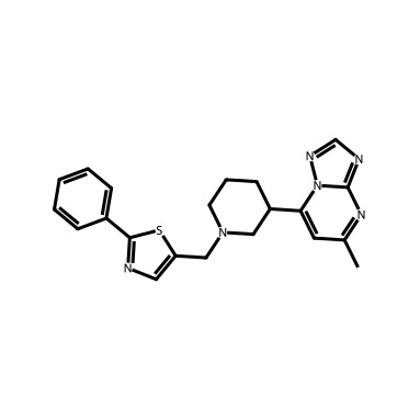 Cc1cc(C2CCCN(Cc3cnc(-c4ccccc4)s3)C2)n2ncnc2n1